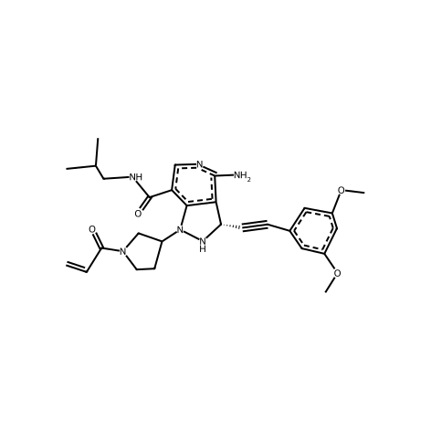 C=CC(=O)N1CCC(N2N[C@@H](C#Cc3cc(OC)cc(OC)c3)c3c(N)ncc(C(=O)NCC(C)C)c32)C1